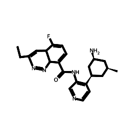 CCC1=CC2C(F)=CC=C(C(=O)Nc3cnccc3[C@@H]3C[C@H](C)C[C@H](N)C3)C2N=N1